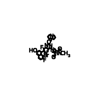 CNC(=O)C1CN(c2nc(OCC34CCCN3CCC4)nc3c(F)c(-c4cc(O)cc5ccc(F)c(Br)c45)ncc23)CC1C=O